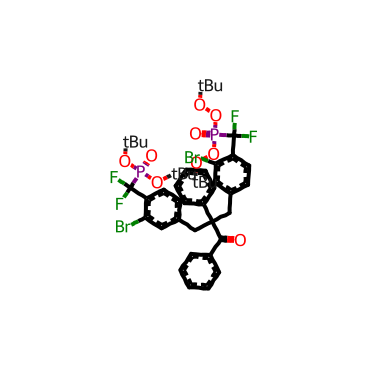 CC(C)(C)OOP(=O)(OOC(C)(C)C)C(F)(F)c1ccc(CC(Cc2ccc(C(F)(F)P(=O)(OC(C)(C)C)OC(C)(C)C)c(Br)c2)(C(=O)c2ccccc2)c2ccccc2)cc1Br